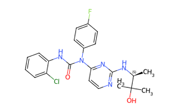 C[C@H](Nc1nccc(N(C(=O)Nc2ccccc2Cl)c2ccc(F)cc2)n1)C(C)(C)O